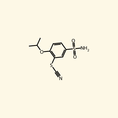 CC(C)Oc1ccc(S(N)(=O)=O)cc1SC#N